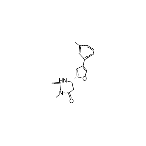 C=C1N[C@H](c2cc(-c3cccc(C)c3)co2)CC(=O)N1C